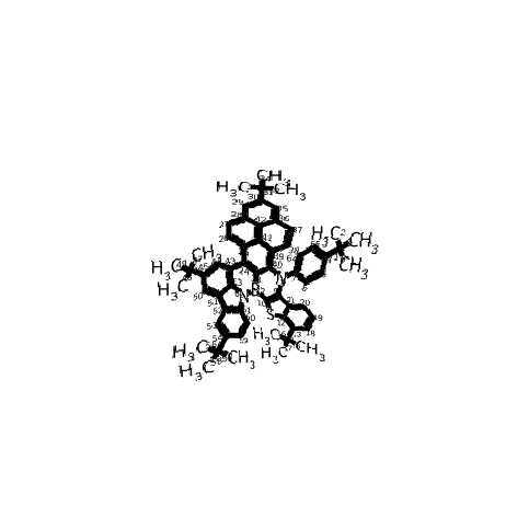 CC(C)(C)c1ccc(N2c3c(sc4c(C(C)(C)C)cccc34)B3c4c(c5ccc6cc(C(C)(C)C)cc7ccc(c42)c5c67)-c2cc(C(C)(C)C)cc4c5cc(C(C)(C)C)ccc5n3c24)cc1